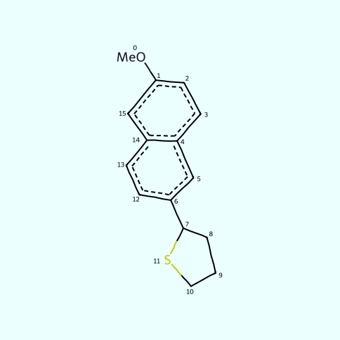 COc1ccc2cc(C3CCCS3)ccc2c1